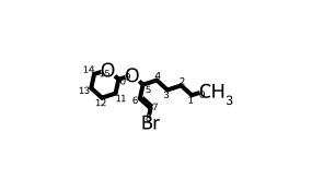 CCCCCC(/C=C/Br)OC1CCCCO1